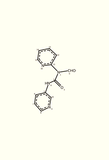 O=[C]N(C(=O)Nc1cccnc1)c1ccccn1